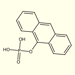 O=P(O)(O)Oc1c2ccccc2cc2ccccc12